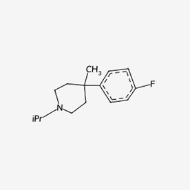 CC(C)N1CCC(C)(c2ccc(F)cc2)CC1